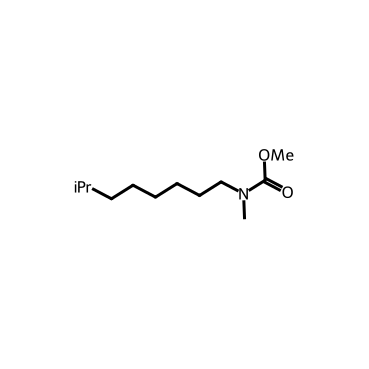 COC(=O)N(C)CCCCCCC(C)C